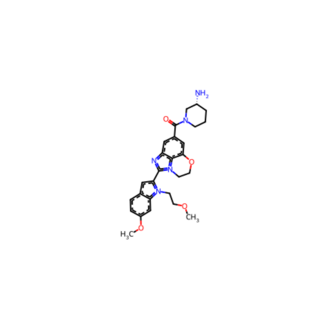 COCCn1c(-c2nc3cc(C(=O)N4CCC[C@@H](N)C4)cc4c3n2CCO4)cc2ccc(OC)cc21